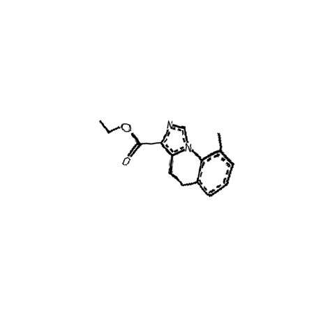 CCOC(=O)c1ncn2c1CCc1cccc(C)c1-2